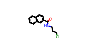 O=C(NCCCCl)c1ccc2ccccc2c1